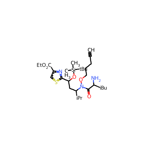 C#CCCCON(C(=O)C(N)C(C)CC)C(CC(O[Si](C)(C)C(C)(C)C)c1nc(C(=O)OCC)cs1)C(C)C